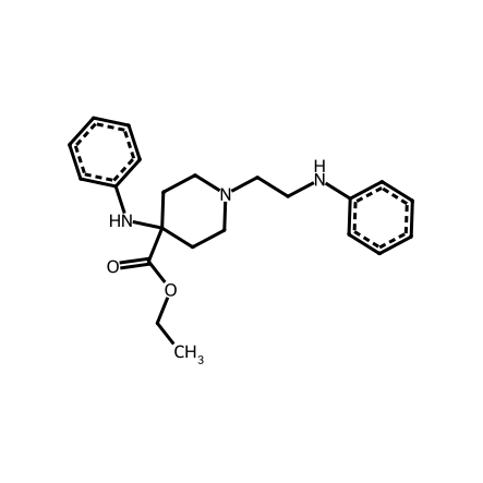 CCOC(=O)C1(Nc2ccccc2)CCN(CCNc2ccccc2)CC1